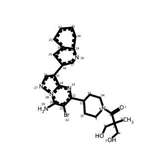 CC(CO)(CO)C(=O)N1CCC(c2nc3c(-c4cnc5ccccc5c4)cnn3c(N)c2Br)CC1